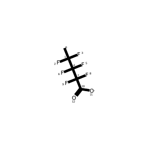 CC(F)(F)C(F)(F)C(F)(F)C([O])=O